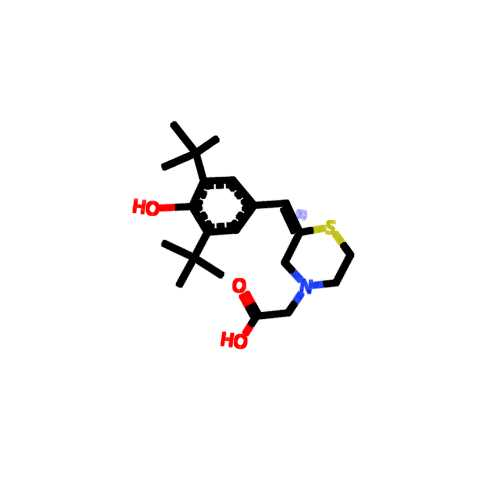 CC(C)(C)c1cc(/C=C2\CN(CC(=O)O)CCS2)cc(C(C)(C)C)c1O